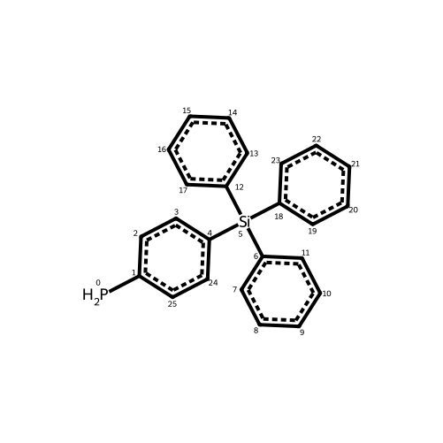 Pc1ccc([Si](c2ccccc2)(c2ccccc2)c2ccccc2)cc1